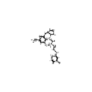 Cc1cc(N)nc(CC2CNCC2NCCOCCc2cccc(F)c2)c1